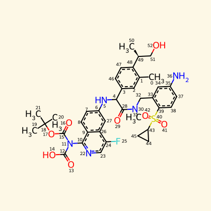 Cc1cc(C(Nc2ccc3c(N(C(=O)O)C(=O)OC(C)(C)C)ncc(F)c3c2)C(=O)N(C)Cc2cc(N)ccc2S(=O)(=O)C2CC2)ccc1[C@@H](C)CO